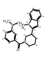 CN(C)c1cc(C(=O)N2CCCC(c3cc4ccccc4n3C)C2)ccn1